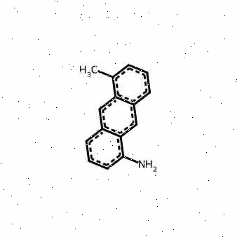 Cc1cccc2cc3c(N)cccc3cc12